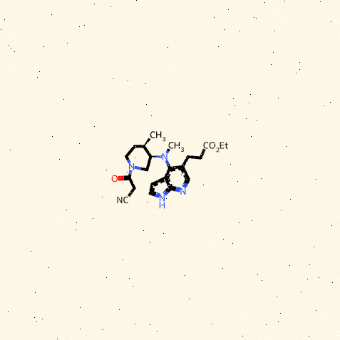 CCOC(=O)CCc1cnc2[nH]ccc2c1N(C)[C@H]1CN(C(=O)CC#N)CC[C@H]1C